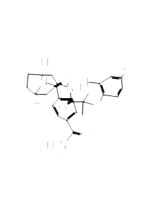 CC(C)(Oc1ccc(Cl)cc1Cl)C(=O)N[C@H]1C[C@H]2CC[C@@H](C1)N2C(=O)c1ccc(C(N)=O)cc1